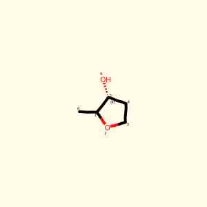 CC1OCC[C@H]1O